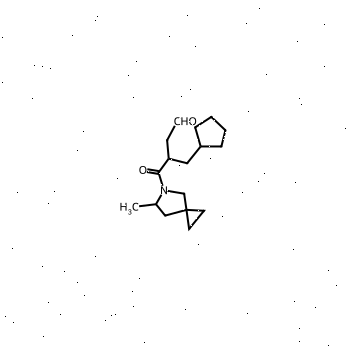 CC1CC2(CC2)CN1C(=O)C(CC=O)CC1CCCC1